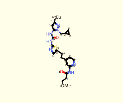 COCCC(=O)Nc1cc(CCc2cnc(NC(=O)Nc3cc(C(C)(C)C)nn3CC3CC3)s2)ccn1